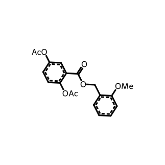 COc1ccccc1COC(=O)c1cc(OC(C)=O)ccc1OC(C)=O